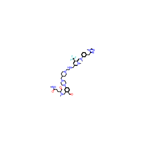 CNC(=O)CCC(C=O)N(C)Cc1cc(N2CCN(CC3CCN(CCNCC4=CN(C)/C(=C\N(C)c5cccc(Cc6nncn6C)c5)C(C(F)(F)F)=C4)CC3)CC2)ccc1C=O